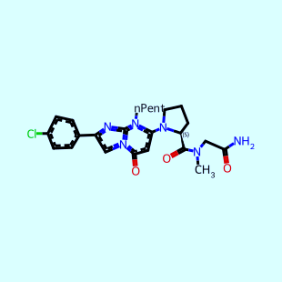 CCCCCn1c(N2CCC[C@H]2C(=O)N(C)CC(N)=O)cc(=O)n2cc(-c3ccc(Cl)cc3)nc12